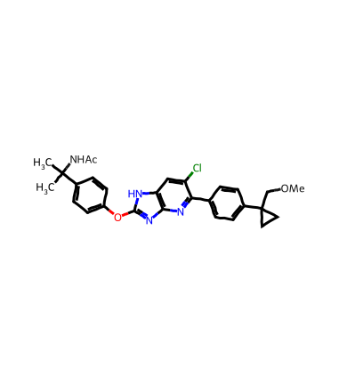 COCC1(c2ccc(-c3nc4nc(Oc5ccc(C(C)(C)NC(C)=O)cc5)[nH]c4cc3Cl)cc2)CC1